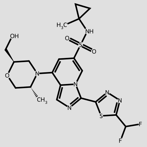 C[C@@H]1CO[C@@H](CO)CN1c1cc(S(=O)(=O)NC2(C)CC2)cn2c(-c3nnc(C(F)F)s3)ncc12